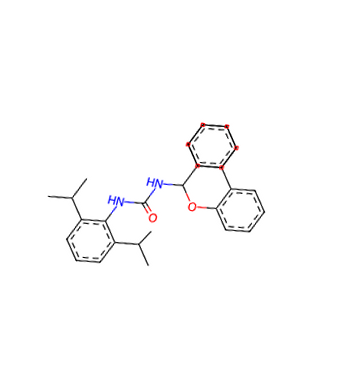 CC(C)c1cccc(C(C)C)c1NC(=O)NC(Oc1ccccc1-c1ccccc1)C1CCCCC1